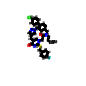 COCCN(Cc1ccc(-c2ccc(Cl)cc2)cc1)C(=O)Cn1cc(Cc2cnn(C)c2)c(=O)nc1SCc1ccc(F)cc1